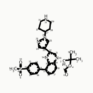 CC(C)(C)OC=O.CS(=O)(=O)c1ccc(-c2cccc3ncc(-c4cnn(C5CCNCC5)c4)nc23)cc1